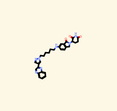 O=C1CCC(N2Cc3ccc(NCCCCCCn4cc(-c5cnc6ccccc6n5)cn4)cc3C2=O)C(=O)N1